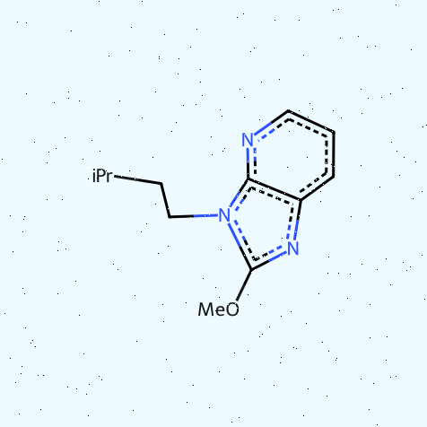 COc1nc2cccnc2n1CCC(C)C